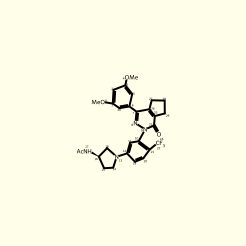 COc1cc(OC)cc(-c2nn(-c3cc(N4CC[C@@H](NC(C)=O)C4)ccc3C(F)(F)F)c(=O)c3c2CCC3)c1